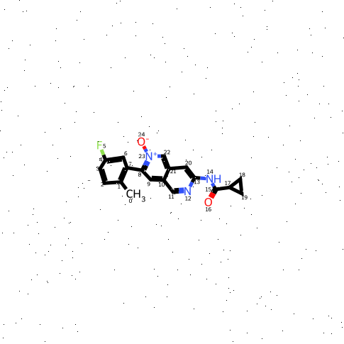 Cc1ccc(F)cc1-c1cc2cnc(NC(=O)C3CC3)cc2c[n+]1[O-]